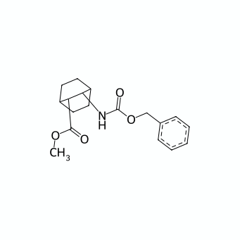 COC(=O)C1C2CCC(CC2)C1NC(=O)OCc1ccccc1